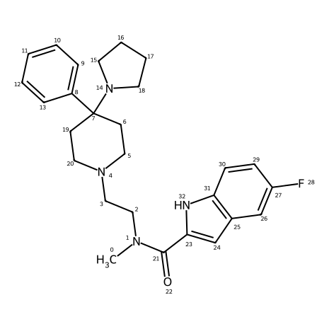 CN(CCN1CCC(c2ccccc2)(N2CCCC2)CC1)C(=O)c1cc2cc(F)ccc2[nH]1